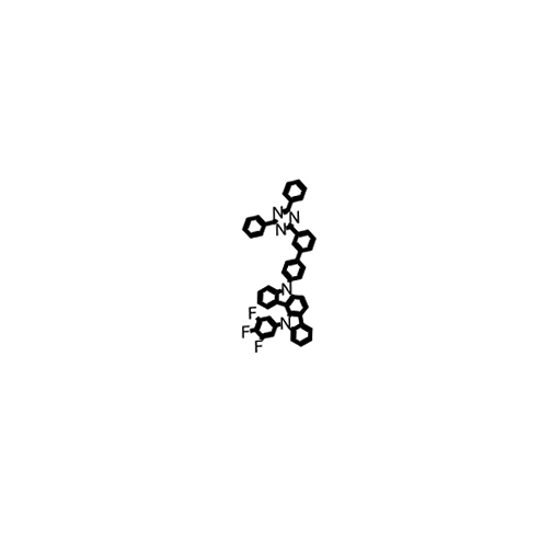 Fc1cc(-n2c3ccccc3c3ccc4c(c5ccccc5n4-c4ccc(-c5cccc(-c6nc(-c7ccccc7)nc(-c7ccccc7)n6)c5)cc4)c32)cc(F)c1F